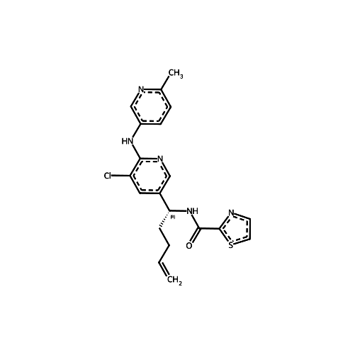 C=CCC[C@@H](NC(=O)c1nccs1)c1cnc(Nc2ccc(C)nc2)c(Cl)c1